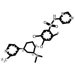 CN(C)[C@H]1C[C@@H](c2ccnc(C(F)(F)F)c2)CC[C@@H]1Oc1cc(F)c(S(=O)(=O)Nc2ccncn2)cc1Cl